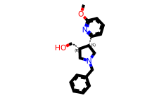 COc1cccc([C@@H]2CN(Cc3ccccc3)C[C@@H]2CO)n1